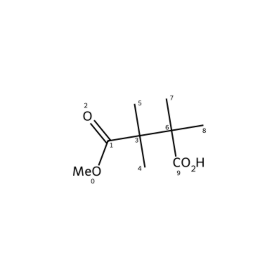 COC(=O)C(C)(C)C(C)(C)C(=O)O